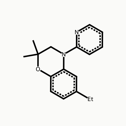 CCc1ccc2c(c1)N(c1ccccn1)CC(C)(C)O2